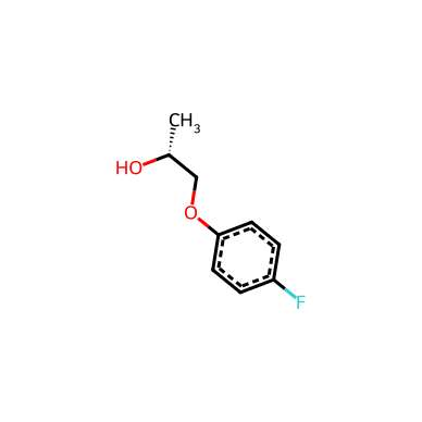 C[C@@H](O)COc1ccc(F)cc1